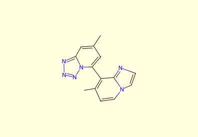 Cc1cc(-c2c(C)ccn3ccnc23)n2nnnc2c1